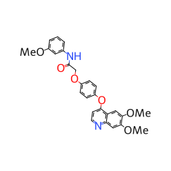 COc1cccc(NC(=O)COc2ccc(Oc3ccnc4cc(OC)c(OC)cc34)cc2)c1